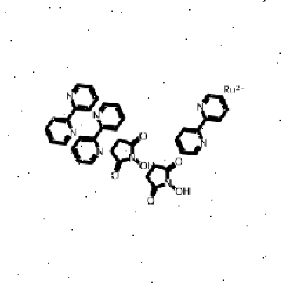 O=C1CCC(=O)N1O.O=C1CCC(=O)N1O.[Ru+2].c1ccc(-c2ccccn2)nc1.c1ccc(-c2ccccn2)nc1.c1ccc(-c2ccccn2)nc1